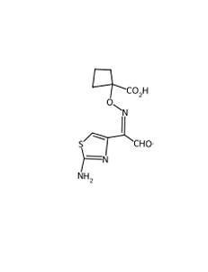 Nc1nc(/C([C]=O)=N\OC2(C(=O)O)CCC2)cs1